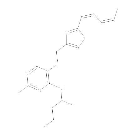 C/C=C\C=C/C1=NC(COc2cnc(C)nc2NC(C)CCC)=CC1